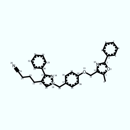 Cc1oc(-c2ccccc2)nc1COc1ccc(Cn2cc(CCCC#N)c(-c3ccccc3)n2)cc1